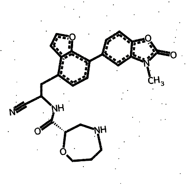 Cn1c(=O)oc2ccc(-c3ccc(CC(C#N)NC(=O)[C@@H]4CNCCCO4)c4ccoc34)cc21